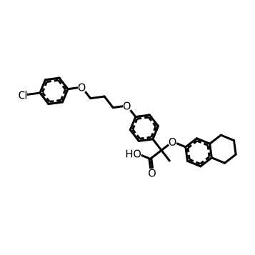 CC(Oc1ccc2c(c1)CCCC2)(C(=O)O)c1ccc(OCCCOc2ccc(Cl)cc2)cc1